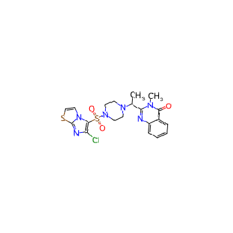 CC(c1nc2ccccc2c(=O)n1C)N1CCN(S(=O)(=O)c2c(Cl)nc3sccn23)CC1